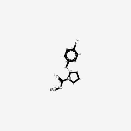 CC(C)(C)OC(=O)N1CCC[C@H]1Cc1ccc(F)cc1